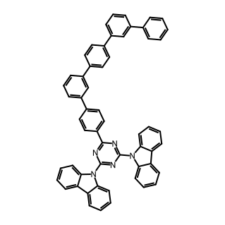 c1ccc(-c2cccc(-c3ccc(-c4cccc(-c5ccc(-c6nc(-n7c8ccccc8c8ccccc87)nc(-n7c8ccccc8c8ccccc87)n6)cc5)c4)cc3)c2)cc1